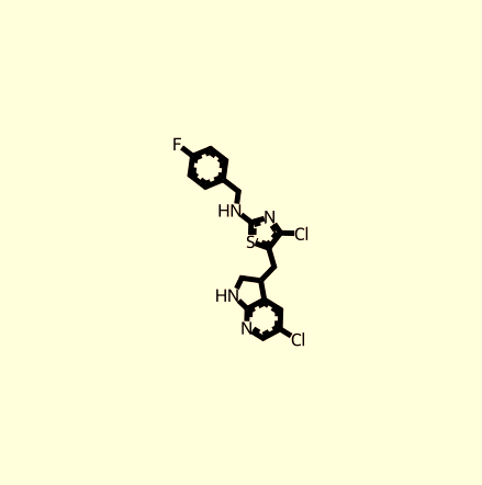 Fc1ccc(CNc2nc(Cl)c(CC3CNc4ncc(Cl)cc43)s2)cc1